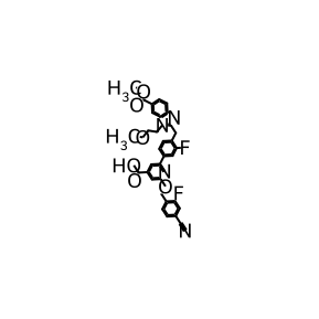 COCCn1c(Cc2ccc(-c3cc(C(=O)O)cc(OCc4ccc(C#N)cc4F)n3)cc2F)nc2ccc(C(=O)OC)cc21